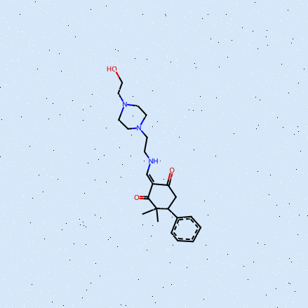 CC1(C)C(=O)C(=CNCCN2CCN(CCO)CC2)C(=O)CC1c1ccccc1